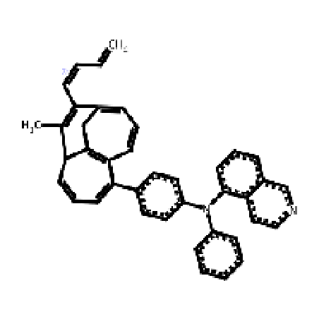 C=C/C=C\C1=C(C)C2C=CC=C(c3ccc(N(c4ccccc4)c4cccc5cnccc45)cc3)C3=C2CC1=CC=C3